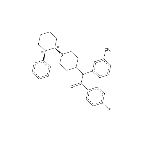 O=C(c1ccc(F)cc1)N(c1cccc(C(F)(F)F)c1)C1CCN([C@@H]2CCCC[C@@H]2c2ccccc2)CC1